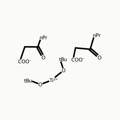 CC(C)(C)[O][Ti+2][O]C(C)(C)C.CCCC(=O)CC(=O)[O-].CCCC(=O)CC(=O)[O-]